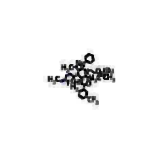 C=C(/C=C\C(F)=C/C)[C@H]1c2c(C)nn(-c3ccccc3)c2N(CCO[Si](C)(C)C(C)(C)C)C(=O)[C@H]1NC(=O)c1cccc(C(F)(F)F)c1